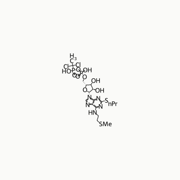 CCCSc1nc(NCCSC)c2ncn([C@@H]3O[C@H](COP(=O)(O)OP(=O)(O)C(C)(Cl)Cl)[C@@H](O)[C@H]3O)c2n1